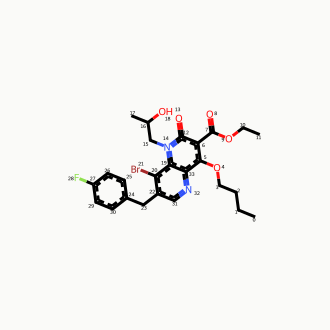 CCCCOc1c(C(=O)OCC)c(=O)n(CC(C)O)c2c(Br)c(Cc3ccc(F)cc3)cnc12